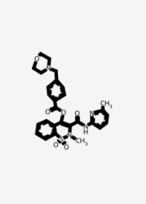 Cc1cccc(NC(=O)C2=C(OC(=O)c3ccc(CN4CCOCC4)cc3)c3ccccc3S(=O)(=O)N2C)n1